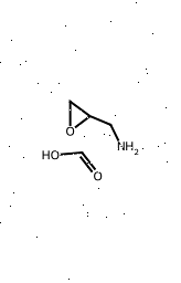 NCC1CO1.O=CO